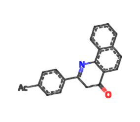 CC(=O)c1ccc(C2=Nc3c(ccc4ccccc34)C(=O)C2)cc1